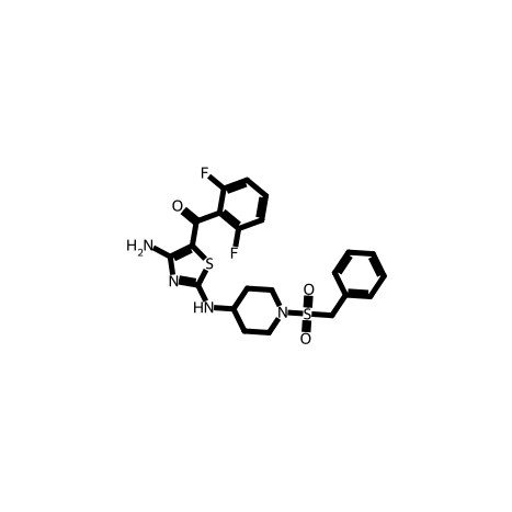 Nc1nc(NC2CCN(S(=O)(=O)Cc3ccccc3)CC2)sc1C(=O)c1c(F)cccc1F